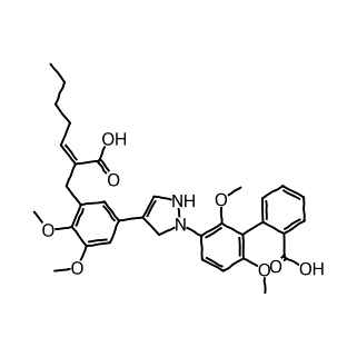 CCCCC=C(Cc1cc(C2=CNN(c3ccc(OC)c(-c4ccccc4C(=O)O)c3OC)C2)cc(OC)c1OC)C(=O)O